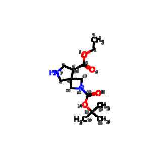 CCOC(=O)[C@@H]1CNCC12CN(C(=O)OC(C)(C)C)C2